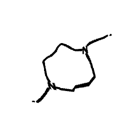 [CH2]N1CCN([CH2])CC1